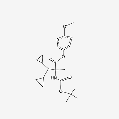 COc1ccc(OC(=O)C(C)(NC(=O)OC(C)(C)C)C(C2CC2)C2CC2)cc1